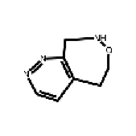 c1cc2c(nn1)CNOCC2